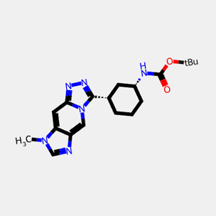 Cn1cnc2cn3c([C@H]4CCC[C@@H](NC(=O)OC(C)(C)C)C4)nnc3cc21